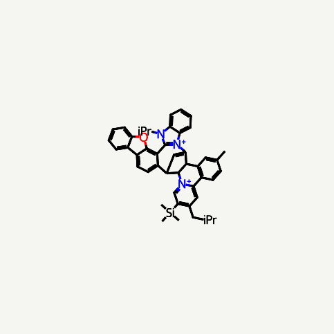 Cc1ccc2c(c1)C1C3=CC(c4ccc5c(oc6ccccc65)c4-c4n(C(C)C)c5ccccc5[n+]43)C1[n+]1cc([Si](C)(C)C)c(CC(C)C)cc1-2